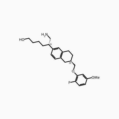 COc1ccc(F)c(OC[C@@H]2CCc3cc([C@@H](CN)CCCCO)ccc3C2)c1